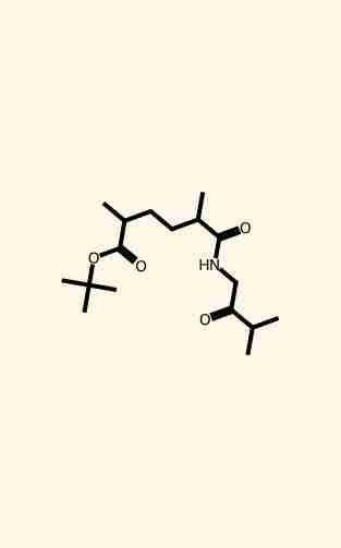 CC(C)C(=O)CNC(=O)C(C)CCC(C)C(=O)OC(C)(C)C